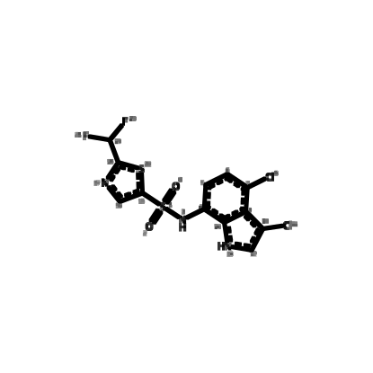 O=S(=O)(Nc1ccc(Cl)c2c(Cl)c[nH]c12)c1cnc(C(F)F)s1